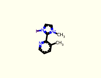 Cc1cccnc1-c1n(I)cc[n+]1C